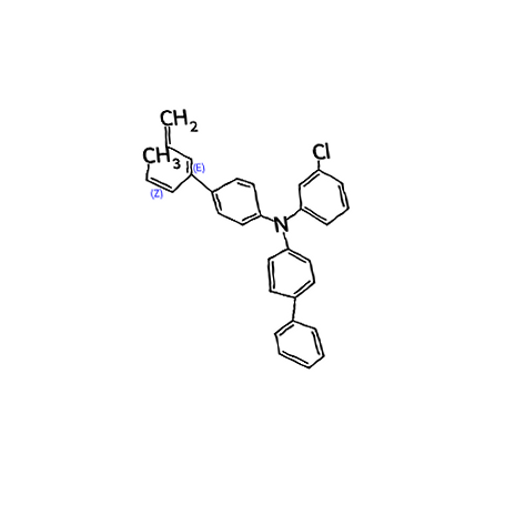 C=C/C=C(\C=C/C)c1ccc(N(c2ccc(-c3ccccc3)cc2)c2cccc(Cl)c2)cc1